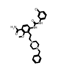 COc1c(C(N)=O)ccc(NC(=O)Nc2cccc(Cl)c2)c1CCN1CCN(Cc2ccccc2)CC1